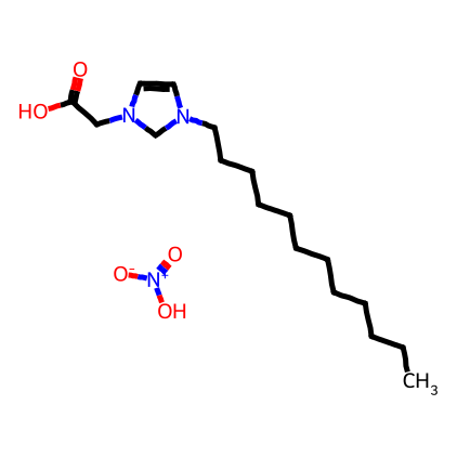 CCCCCCCCCCCCN1C=CN(CC(=O)O)C1.O=[N+]([O-])O